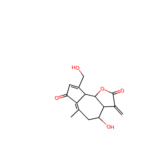 C=C1C(=O)OC2C3C(CO)=CC(=O)C3=C(C)CC(O)C12